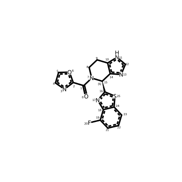 O=C(c1ncco1)N1CCc2[nH]cnc2[C@H]1c1nc2c(F)cccc2s1